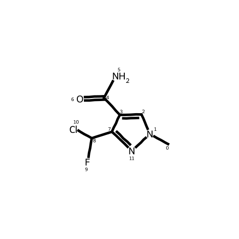 Cn1cc(C(N)=O)c(C(F)Cl)n1